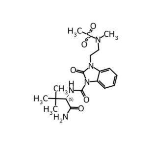 CN(CCn1c(=O)n(C(=O)N[C@H](C(N)=O)C(C)(C)C)c2ccccc21)S(C)(=O)=O